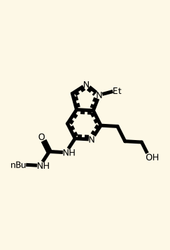 CCCCNC(=O)Nc1cc2cnn(CC)c2c(CCCO)n1